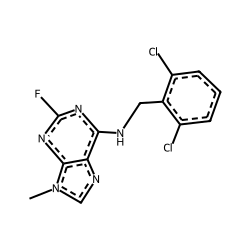 Cn1cnc2c(NCc3c(Cl)cccc3Cl)nc(F)nc21